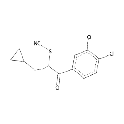 N#CSC(CC1CC1)C(=O)c1ccc(Cl)c(Cl)c1